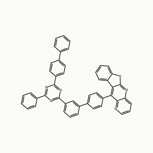 c1ccc(-c2ccc(-c3nc(-c4ccccc4)nc(-c4cccc(-c5ccc(-c6c7ncccc7nc7oc8ccccc8c67)cc5)c4)n3)cc2)cc1